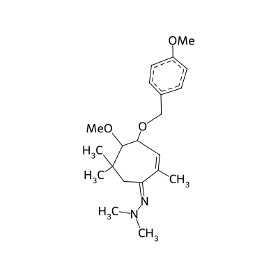 COc1ccc(COC2C=C(C)C(=NN(C)C)CC(C)(C)C2OC)cc1